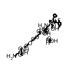 CC(=O)N[C@@H](CCCCN)C(=O)NCCOCCOCCOCCOCCC(=O)NC[C@@H](NC(=O)[C@@H](N)CCN(C(=O)CO)[C@@H](c1cc(-c2cc(F)ccc2F)cn1Cc1ccccc1)C(C)(C)C)C(=O)O.O=C(O)C(F)(F)F